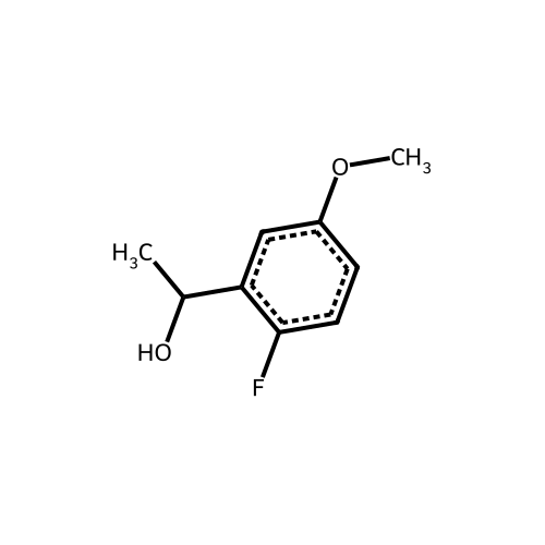 COc1ccc(F)c(C(C)O)c1